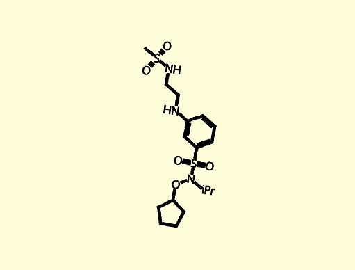 CC(C)N(OC1CCCC1)S(=O)(=O)c1cccc(NCCNS(C)(=O)=O)c1